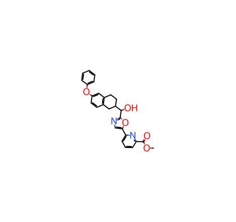 COC(=O)c1cccc(-c2cnc(C(O)C3CCc4cc(Oc5ccccc5)ccc4C3)o2)n1